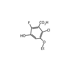 CCOc1cc(O)c(F)c(C(=O)O)c1Cl